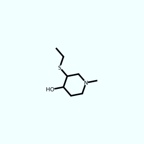 CCSC1CN(C)CCC1O